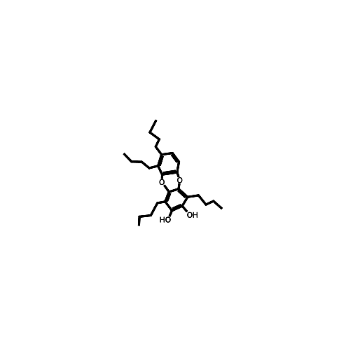 CCCCc1ccc2c(c1CCCC)Oc1c(CCCC)c(O)c(O)c(CCCC)c1O2